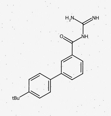 CC(C)(C)c1ccc(-c2cccc(C(=O)NC(=N)N)c2)cc1